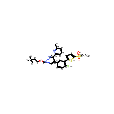 CNS(=O)(=O)c1ccc(-c2cc(-c3cn(COCC[Si](C)(C)C)nc3-c3cccc(C)n3)ccc2F)s1